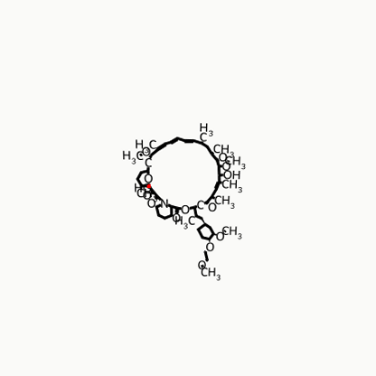 COCCO[C@@H]1CC[C@@H](C[C@@H](C)C2CC(=O)C(C)C=C(C)C(O)C(OC)C(=O)C(C)CC(C)C=CC=CC=C(C)C(OC)CC3CCC(C)C(O)(O3)C(=O)C(=O)N3CCCCC3C(=O)O2)C[C@H]1OC